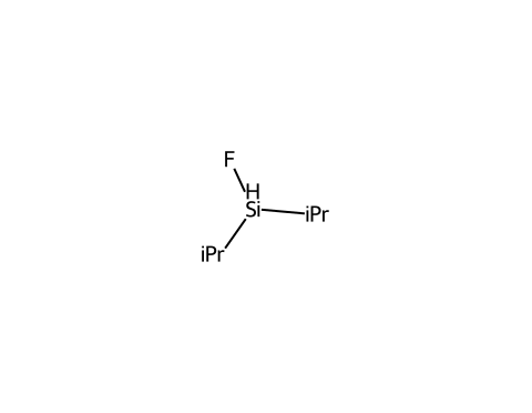 CC(C)[SiH](F)C(C)C